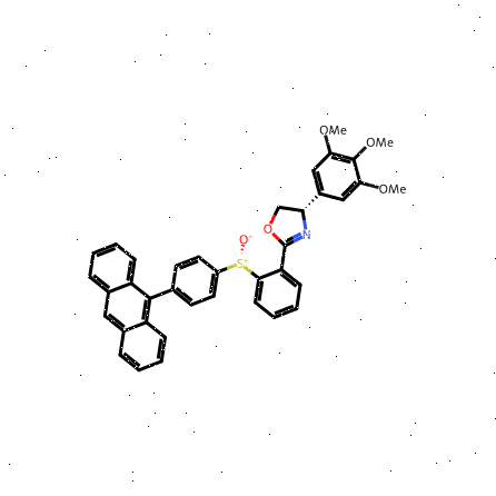 COc1cc([C@H]2COC(c3ccccc3[S@@+]([O-])c3ccc(-c4c5ccccc5cc5ccccc45)cc3)=N2)cc(OC)c1OC